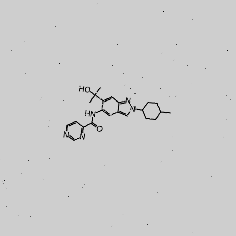 CC1CCC(n2cc3cc(NC(=O)c4ccncn4)c(C(C)(C)O)cc3n2)CC1